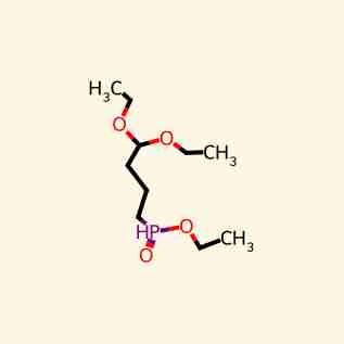 CCOC(CCC[PH](=O)OCC)OCC